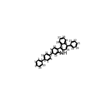 c1ccc(-c2ccc(-c3ccc4c(c3)[nH]c3cc(-c5ccccc5)c5ccccc5c34)cc2)cc1